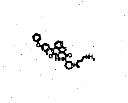 C=C(/C=C/CN)N1CCC[C@@H](NC(=O)c2sc3nccc4c3c2NC(=O)N4c2ccc(Oc3ccccc3)cc2C)C1